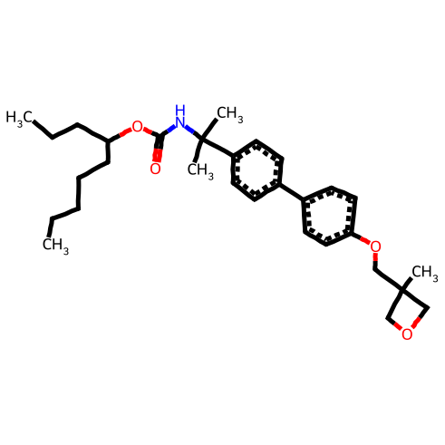 CCCCCC(CCC)OC(=O)NC(C)(C)c1ccc(-c2ccc(OCC3(C)COC3)cc2)cc1